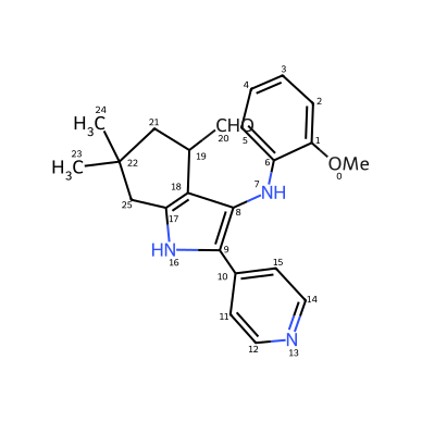 COc1ccccc1Nc1c(-c2ccncc2)[nH]c2c1C(C=O)CC(C)(C)C2